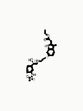 CCOC(=O)Cc1[nH]c2cc(OCCNC[C@H](O)c3cccc(NS(C)(=O)=O)c3)ccc2c1C